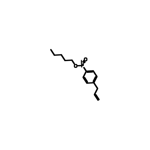 C=CCc1ccc([PH](=O)OCCCCC)cc1